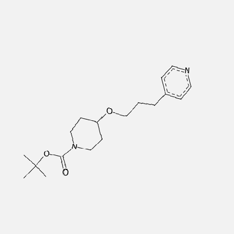 CC(C)(C)OC(=O)N1CCC(OCCCc2ccncc2)CC1